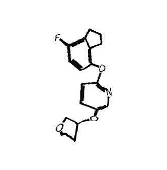 Fc1ccc(Oc2ccc(O[C@H]3CCOC3)cn2)c2c1CCC2